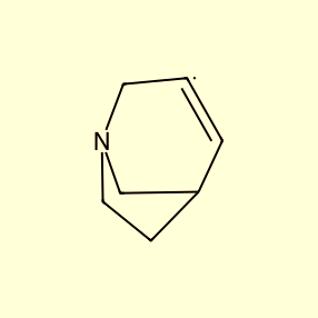 [C]1=CC2CCN(C1)C2